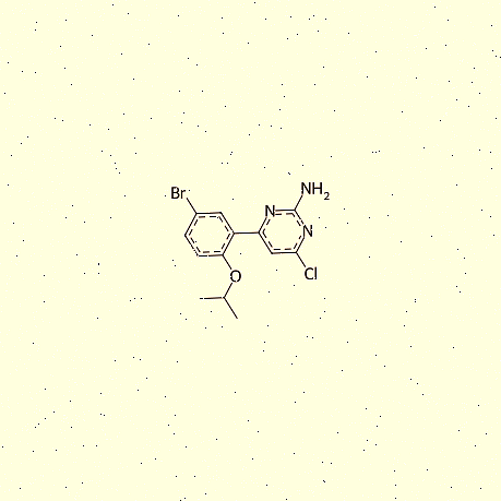 CC(C)Oc1ccc(Br)cc1-c1cc(Cl)nc(N)n1